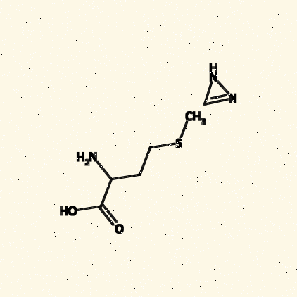 C1=NN1.CSCCC(N)C(=O)O